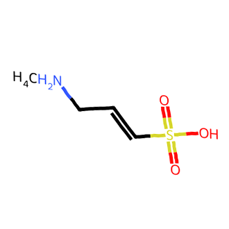 C.NCC=CS(=O)(=O)O